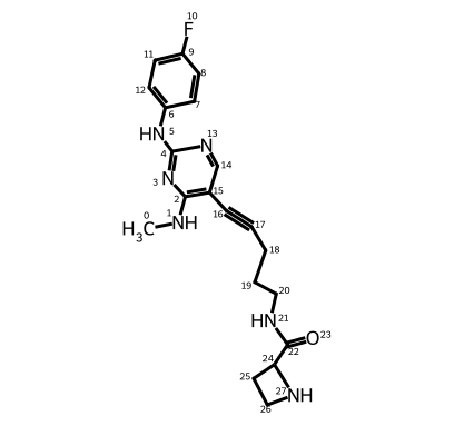 CNc1nc(Nc2ccc(F)cc2)ncc1C#CCCCNC(=O)C1CCN1